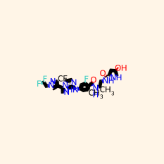 Cc1cc(Nc2nccn3c(-c4cn(CC(F)F)nc4C(F)(F)F)cnc23)cc(F)c1C(=O)N[C@H](C)CNC(=O)[C@@H]1C[C@@H](O)CN1